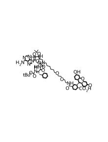 CC(C)(C)OC(=O)N[C@@H](Cc1ccccc1)C(=O)NS(=O)(=O)N(CCCCCCOCCOCCNC(=O)c1ccc(C(=O)O)c(-c2c3ccc(=O)cc-3oc3cc(O)ccc23)c1)C[C@H]1O[C@@H](n2cnc3c(N)ncnc32)[C@@H]2OC(C)(C)O[C@@H]21